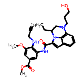 C#CCNc1c(NC(=O)c2cc3cccc4c3n2C(CC)CN4CCCO)cc(C(=O)OC)cc1OC